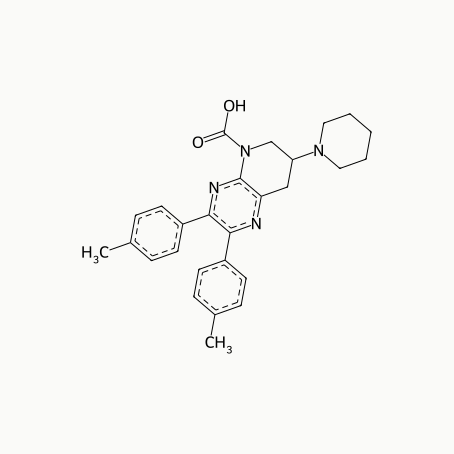 Cc1ccc(-c2nc3c(nc2-c2ccc(C)cc2)N(C(=O)O)CC(N2CCCCC2)C3)cc1